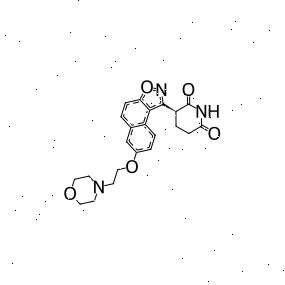 O=C1CC[C@@H](c2noc3ccc4cc(OCCN5CCOCC5)ccc4c23)C(=O)N1